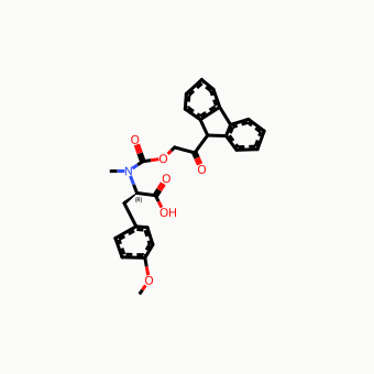 COc1ccc(C[C@H](C(=O)O)N(C)C(=O)OCC(=O)C2c3ccccc3-c3ccccc32)cc1